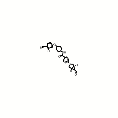 N#Cc1ccc(OC2CCC(NC(=O)c3cnc(N4C[C@@H]5C(C=O)[C@@H]5C4)cn3)CC2)cc1Cl